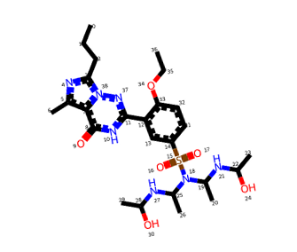 CCCc1nc(C)c2c(=O)[nH]c(-c3cc(S(=O)(=O)N(C(C)NC(C)O)C(C)NC(C)O)ccc3OCC)nn12